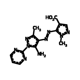 Cc1nn(-c2ncccn2)c(N)c1/N=N/c1c(C(=O)O)cnn1C